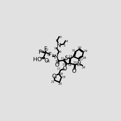 CCN(CC)CCN(C)C(=O)c1sc2c(c1OCC1CCCO1)c(=O)n(C)c1ccccc21.O=C(O)C(F)(F)F